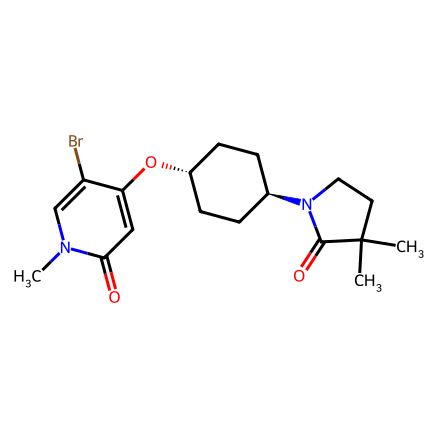 Cn1cc(Br)c(O[C@H]2CC[C@H](N3CCC(C)(C)C3=O)CC2)cc1=O